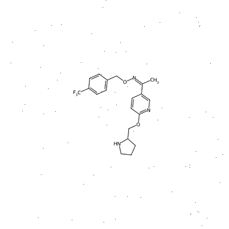 CC(=NOCc1ccc(C(F)(F)F)cc1)c1ccc(OCC2CCCN2)nc1